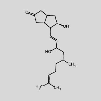 CC(C)=CCCC(C)CC(O)/C=C/C1C2CC(=O)CC2C[C@H]1O